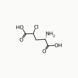 N[C@@H](CC(Cl)C(=O)O)C(=O)O